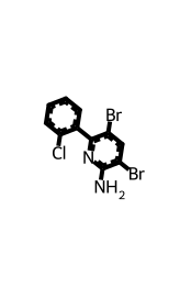 Nc1nc(-c2ccccc2Cl)c(Br)cc1Br